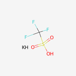 O=S(=O)(O)C(F)(F)F.[KH]